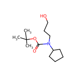 CC(C)(C)OC(=O)N(CCCO)C1CCCC1